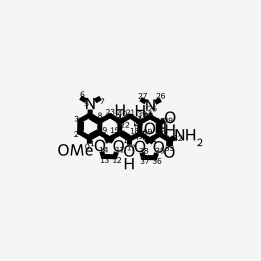 COc1ccc(N(C)C)c2c1C1(OCCO1)C1=C(O)[C@@]3(O)[C@@H](C[C@@H]1C2)[C@H](N(C)C)C(O)=C(C(N)=O)C31OCCO1